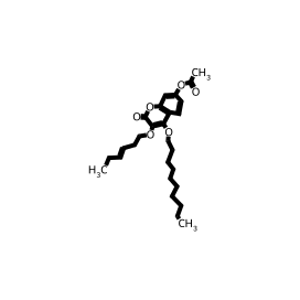 CC/C=C/CCOc1c(OCCCCCCCCCC)c2ccc(OC(C)=O)cc2oc1=O